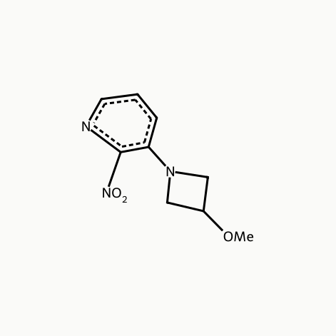 COC1CN(c2cccnc2[N+](=O)[O-])C1